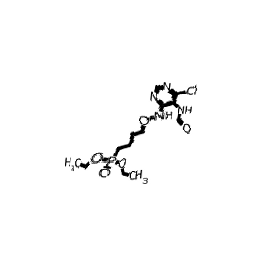 CCOP(=O)(CCCCONc1ncnc(Cl)c1NC=O)OCC